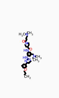 C=CCCOc1cccc(-c2ccnc(Nc3cc(CN(C)CC)cc(NC(=O)C4CCN(C(=O)/C=C/CN(C)C)CC4)c3)n2)c1